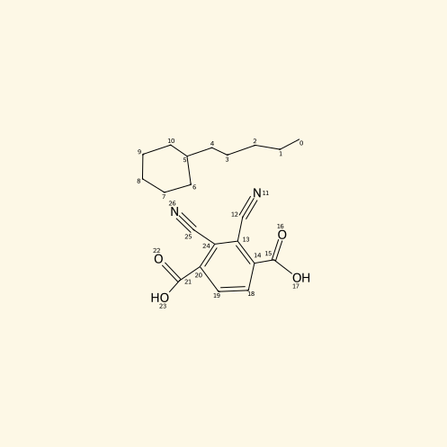 CCCCCC1CCCCC1.N#Cc1c(C(=O)O)ccc(C(=O)O)c1C#N